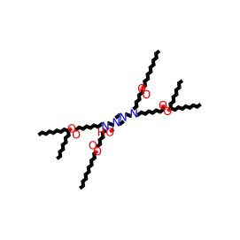 CCCCCCCCCCCOC(=O)CCCCCN(CCCCCCCC(=O)OC(CCCCCCCC)CCCCCCCC)CCN1CCN([C@H](CO)CN(CCCCCCCC(=O)OC(CCCCCCCC)CCCCCCCC)CCCCCC(=O)OCCCCCCCCCCC)CC1